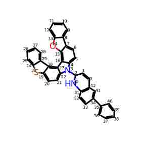 C1=CC(n2c3ccc4c5ccccc5oc4c3c3c4c(ccc32)sc2ccccc24)Nc2ccc(-c3ccccc3)cc21